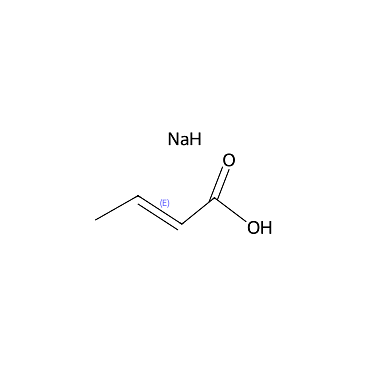 C/C=C/C(=O)O.[NaH]